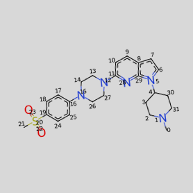 CN1CCC(n2ccc3ccc(N4CCN(c5ccc(S(C)(=O)=O)cc5)CC4)nc32)CC1